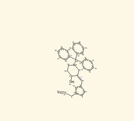 CCOC(=O)Cn1ccc(/C=C2/CN(C(c3ccccc3)(c3ccccc3)c3ccccc3)CCC2O)c1